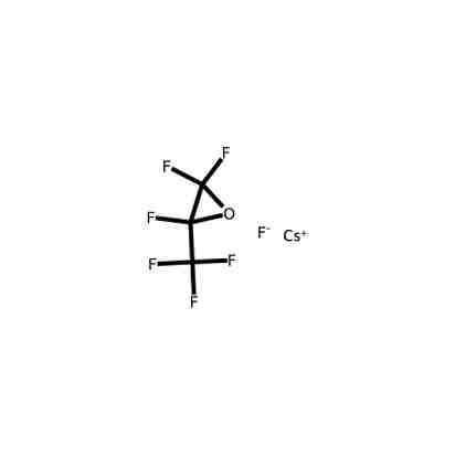 FC(F)(F)C1(F)OC1(F)F.[Cs+].[F-]